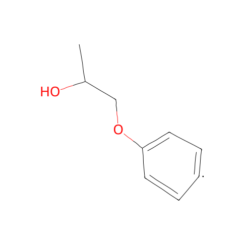 CC(O)COc1cc[c]cc1